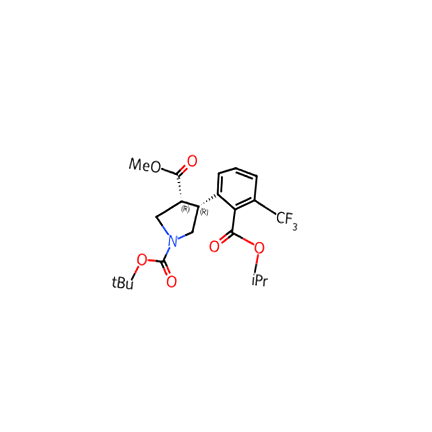 COC(=O)[C@H]1CN(C(=O)OC(C)(C)C)C[C@H]1c1cccc(C(F)(F)F)c1C(=O)OC(C)C